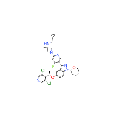 C[C@@H](Oc1ccc2c(c1)c(-c1cnc(N3CC(C)(NCC4CC4)C3)cc1F)nn2C1CCCCO1)c1c(Cl)cncc1Cl